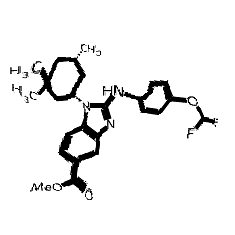 COC(=O)c1ccc2c(c1)nc(Nc1ccc(OC(F)F)cc1)n2[C@H]1C[C@@H](C)CC(C)(C)C1